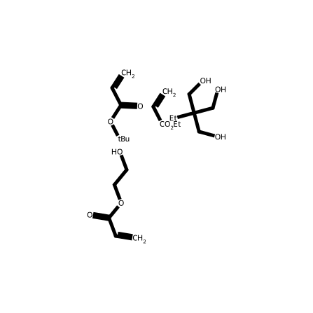 C=CC(=O)OC(C)(C)C.C=CC(=O)OCC.C=CC(=O)OCCO.CCC(CO)(CO)CO